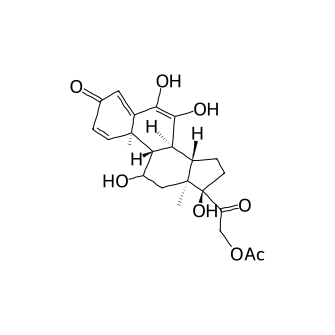 CC(=O)OCC(=O)[C@@]1(O)CC[C@H]2[C@@H]3C(O)=C(O)C4=CC(=O)C=C[C@]4(C)[C@H]3C(O)C[C@@]21C